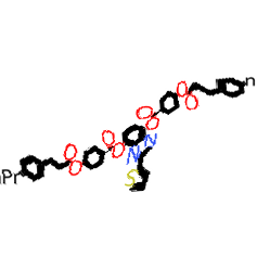 CCCc1ccc(CCC(=O)O[C@H]2CC[C@H](C(=O)Oc3ccc(OC(=O)[C@H]4CC[C@H](OC(=O)CCc5ccc(CCC)cc5)CC4)c4nc(-c5cccs5)cnc34)CC2)cc1